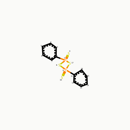 S=P1(c2ccccc2)SP(=S)(c2ccccc2)S1